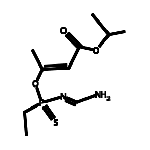 CCP(=S)(N=CN)OC(C)=CC(=O)OC(C)C